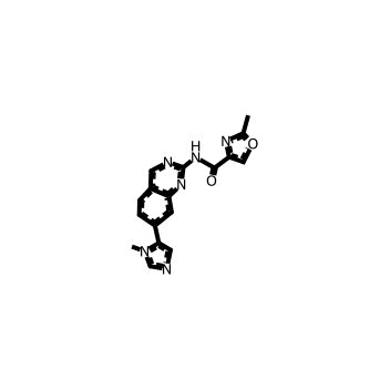 Cc1nc(C(=O)Nc2ncc3ccc(-c4cncn4C)cc3n2)co1